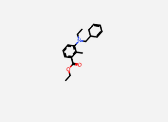 CCOC(=O)c1cccc(N(CC)CC2C=CC=CC2)c1C